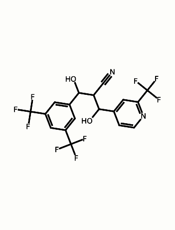 N#CC(C(O)c1cc(C(F)(F)F)cc(C(F)(F)F)c1)C(O)c1ccnc(C(F)(F)F)c1